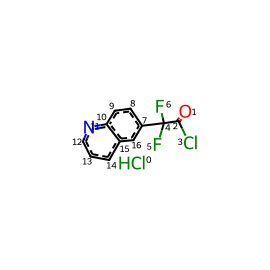 Cl.O=C(Cl)C(F)(F)c1ccc2ncccc2c1